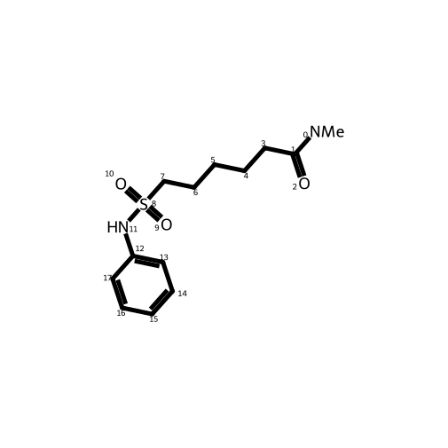 CNC(=O)CCCCCS(=O)(=O)Nc1ccccc1